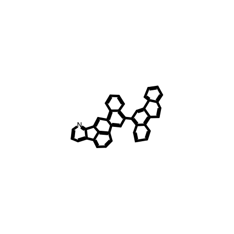 c1cnc2c(c1)-c1cccc3c1c-2cc1c2ccccc2c(-c2cc4c5ccccc5ccc4c4ccccc24)cc31